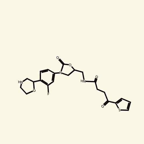 O=C(CCC(=O)c1cccs1)NCC1CN(c2ccc(C3CNCCO3)c(F)c2)C(=O)O1